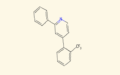 FC(F)(F)c1ccccc1-c1ccnc(-c2ccccc2)c1